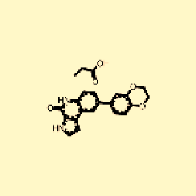 CCC(=O)O.O=c1[nH]c2ccc(-c3ccc4c(c3)OCCO4)cc2c2cc[nH]c12